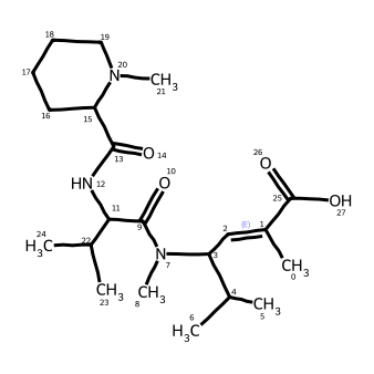 C/C(=C\C(C(C)C)N(C)C(=O)C(NC(=O)C1CCCCN1C)C(C)C)C(=O)O